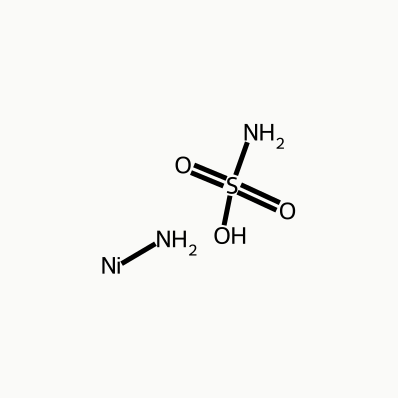 NS(=O)(=O)O.[NH2][Ni]